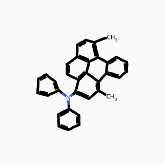 Cc1ccc2ccc3c(N(c4ccccc4)c4ccccc4)cc(C)c4c5ccccc5c1c2c34